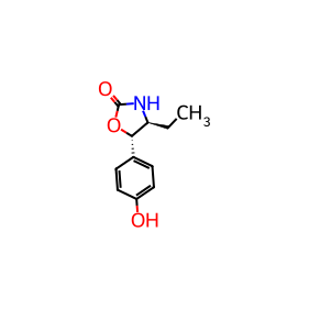 CC[C@@H]1NC(=O)O[C@H]1c1ccc(O)cc1